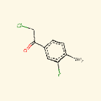 O=C(CCl)c1ccc([N+](=O)[O-])c(F)c1